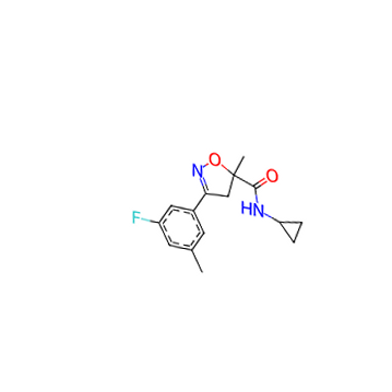 Cc1cc(F)cc(C2=NOC(C)(C(=O)NC3CC3)C2)c1